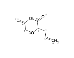 C=CCC1OCC(=O)OC1=O